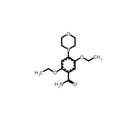 CCOc1cc(N2CCOCC2)c(OCC)cc1C(N)=O